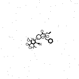 C=CCN(C(=O)C1CCN(c2nc(OC)c(C(=O)O)c(CC)c2C#N)CC1)S(=O)(=O)Cc1ccccc1